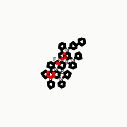 Fc1c2c(cc3c1N(c1c(-c4ccccc4)cccc1C(F)(F)F)c1cc(N(c4ccccc4)c4ccccc4)cc4c1B3c1ccccc1N4c1ccccc1)B1c3ccccc3N(c3ccccc3)c3cc(N(c4ccc(-c5ccccc5)cc4)c4ccccc4-c4ccccc4)cc(c31)S2